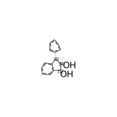 C[C@@]1(O)[C@@H](c2ccccc2)c2ccccc2[C@@H]1O